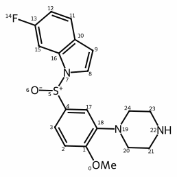 COc1ccc([S+]([O-])n2ccc3ccc(F)cc32)cc1N1CCNCC1